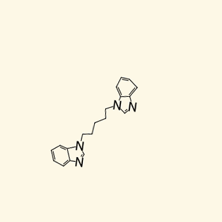 c1ccc2c(c1)ncn2CCCCCn1cnc2ccccc21